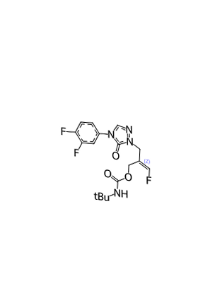 CC(C)(C)NC(=O)OC/C(=C\F)Cn1ncn(-c2ccc(F)c(F)c2)c1=O